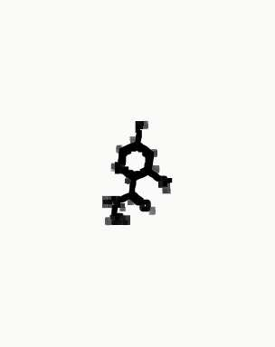 CC(C)(C)NC(=O)c1ncc(F)cc1Br